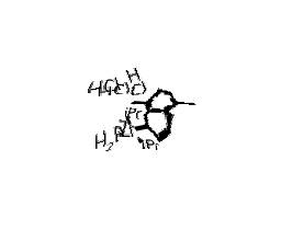 Cc1ccc(C)c2c1C=C[CH]2[Zr]([PH2])([CH](C)C)[CH](C)C.Cl.Cl.Cl